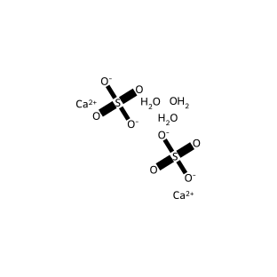 O.O.O.O=S(=O)([O-])[O-].O=S(=O)([O-])[O-].[Ca+2].[Ca+2]